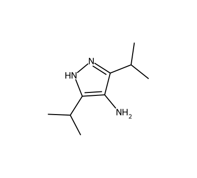 CC(C)c1n[nH]c(C(C)C)c1N